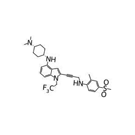 Cc1cc(S(C)(=O)=O)ccc1NCC#Cc1cc2c(N[C@H]3CC[C@@H](N(C)C)CC3)cccc2n1CC(F)(F)F